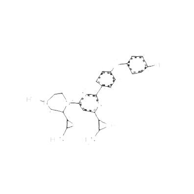 CN1CCN(c2cc(C3OC3N)nc(-c3ccc(Oc4ccc(C(F)(F)F)cc4)cc3)n2)C(C2OC2N)C1